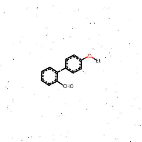 CCOc1ccc(-c2ccccc2C=O)cc1